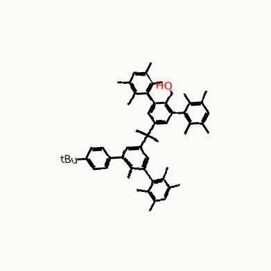 Cc1cc(C)c(C)c(-c2cc(C(C)(C)c3cc(-c4c(C)c(C)cc(C)c4C)c(CO)c(-c4c(C)c(C)cc(C)c4C)c3)cc(-c3ccc(C(C)(C)C)cc3)c2C)c1C